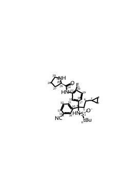 CC(C)(C)[S+]([O-])NC(CCC1CC1)(c1cccc(C#N)c1)c1ccc(F)c(NC(=O)[C@H]2CCCN2)c1